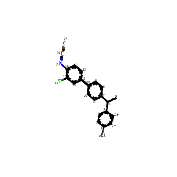 CCc1ccc(C(C)c2ccc(-c3ccc(N=C=S)c(F)c3)cc2)cc1